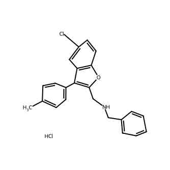 Cc1ccc(-c2c(CNCc3ccccc3)oc3ccc(Cl)cc23)cc1.Cl